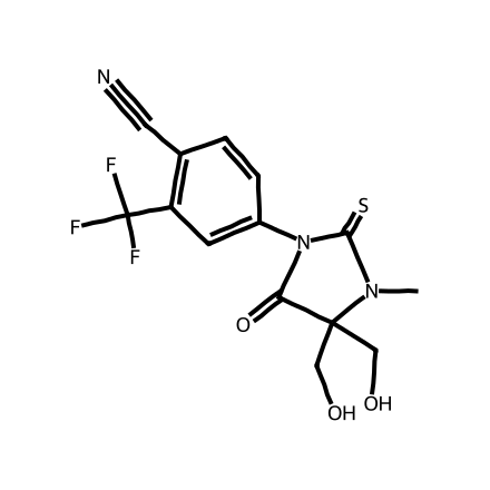 CN1C(=S)N(c2ccc(C#N)c(C(F)(F)F)c2)C(=O)C1(CO)CO